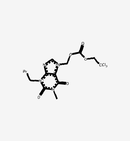 CC(C)Cn1c(=O)n(C)c(=O)c2c1ncn2COC(=O)OCC(Cl)(Cl)Cl